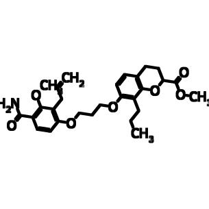 C=CCc1c(OCCCOc2ccc3c(c2CCC)OC(C(=O)OC)CC3)ccc(C(N)=O)c1OC